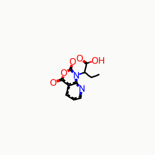 CCC(C(=O)O)n1c(=O)oc(=O)c2cccnc21